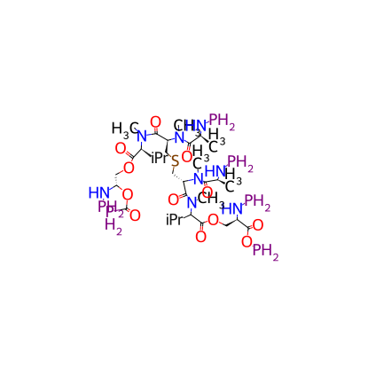 CC(C)C(C(=O)OC[C@@H](NP)C(=O)OP)N(C)C(=O)[C@H](CSC[C@@H](C(=O)N(C)[C@H](C(=O)OC[C@@H](NP)OC(=O)P)C(C)C)N(C)C(=O)[C@H](C)NP)N(C)C(=O)[C@H](C)NP